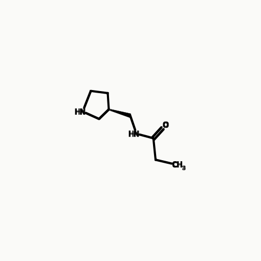 CCC(=O)NC[C@@H]1CCNC1